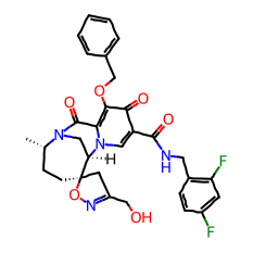 C[C@H]1CC[C@@]2(CC(CO)=NO2)[C@H]2CN1C(=O)c1c(OCc3ccccc3)c(=O)c(C(=O)NCc3ccc(F)cc3F)cn12